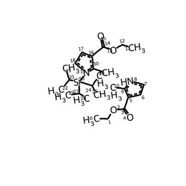 CCOC(=O)c1cc[nH]c1C.CCOC(=O)c1ccn([Si](C(C)C)(C(C)C)C(C)C)c1C